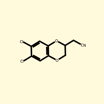 N#CCC1COc2cc(Cl)c(Cl)cc2O1